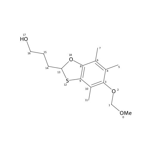 COCOc1c(C)c(C)c2c(c1C)SC(CCCO)O2